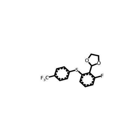 Fc1cccc(Sc2ccc(C(F)(F)F)cc2)c1C1OCCO1